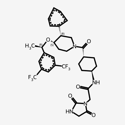 C[C@@H](O[C@H]1CCN(C(=O)[C@H]2CC[C@H](NC(=O)CN3C(=O)CNC3=O)CC2)C[C@H]1c1ccccc1)c1cc(C(F)(F)F)cc(C(F)(F)F)c1